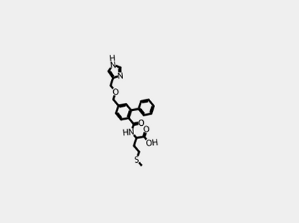 CSCCC(NC(=O)c1ccc(COCc2c[nH]cn2)cc1-c1ccccc1)C(=O)O